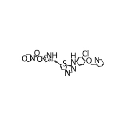 O=C(O[C@H]1CN[C@H](C#Cc2cc3ncnc(Nc4ccc(OCc5ccccn5)c(Cl)c4)c3s2)C1)N1CCOCC1